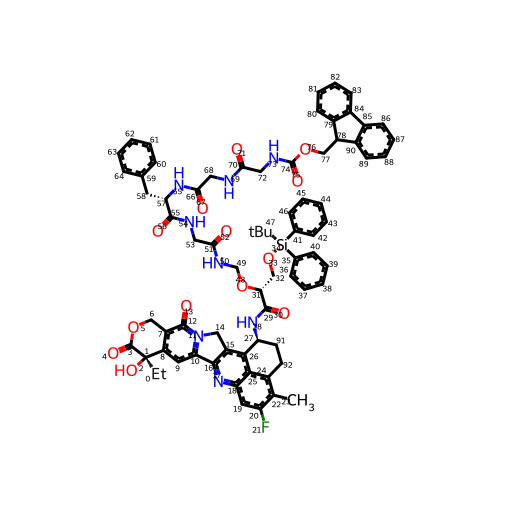 CC[C@@]1(O)C(=O)OCc2c1cc1n(c2=O)Cc2c-1nc1cc(F)c(C)c3c1c2[C@@H](NC(=O)[C@@H](CO[Si](c1ccccc1)(c1ccccc1)C(C)(C)C)OCNC(=O)CNC(=O)[C@H](Cc1ccccc1)NC(=O)CNC(=O)CNC(=O)OCC1c2ccccc2-c2ccccc21)CC3